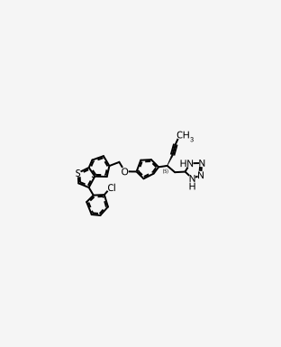 CC#C[C@@H](CC1NN=NN1)c1ccc(OCc2ccc3scc(-c4ccccc4Cl)c3c2)cc1